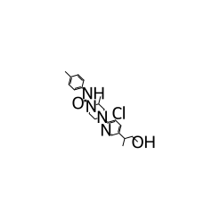 Cc1ccc(NC(=O)N2CCN(c3ncc(C(C)CO)cc3Cl)CC2C)cc1